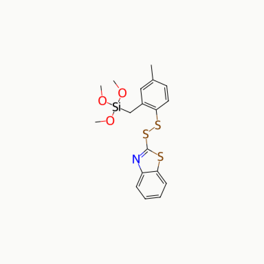 CO[Si](Cc1cc(C)ccc1SSc1nc2ccccc2s1)(OC)OC